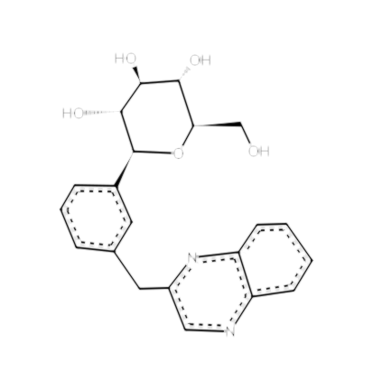 OC[C@H]1O[C@@H](c2cccc(Cc3cnc4ccccc4n3)c2)[C@H](O)[C@@H](O)[C@@H]1O